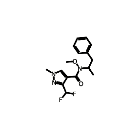 CON(C(=O)c1cn(C)nc1C(F)F)C(C)Cc1ccccc1